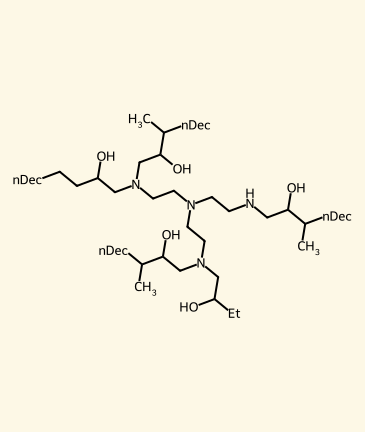 CCCCCCCCCCCCC(O)CN(CCN(CCNCC(O)C(C)CCCCCCCCCC)CCN(CC(O)CC)CC(O)C(C)CCCCCCCCCC)CC(O)C(C)CCCCCCCCCC